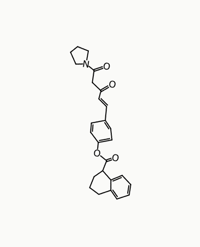 O=C(/C=C/c1ccc(OC(=O)C2CCCc3ccccc32)cc1)CC(=O)N1CCCC1